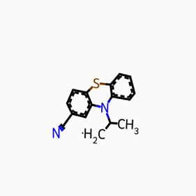 [CH2]C(C)N1c2ccccc2Sc2ccc(C#N)cc21